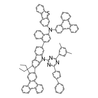 CCC1(CC)c2cc3c4ccccc4c4ccccc4c3cc2-c2cc3c(cc21)c1ccc(-c2ccc(N(c4ccc5c(c4)sc4ccccc45)c4ccc5c6ccccc6c6ccccc6c5c4)c4ccccc24)cc1n3-c1nc(-c2ccc(-c3ccccc3)cc2)nc(-c2cc(C)cc(C)c2)n1